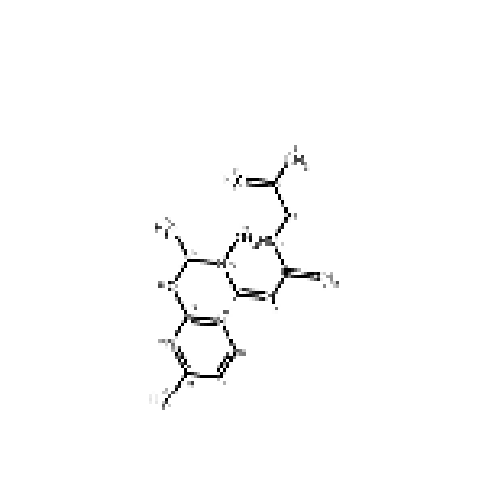 C=C(C)CNC(=C)/N=C\N(C)C(C)Oc1nccc(C)n1